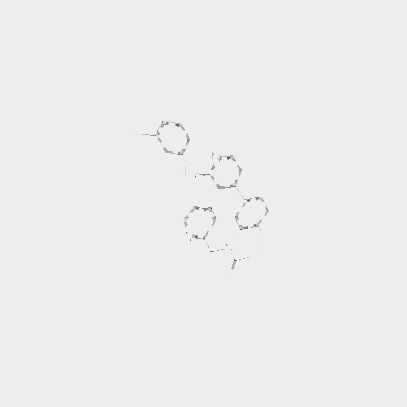 O=C1COc2ccc(-c3ccnc(Nc4cccc(F)c4)c3)cc2N1Cc1ccccn1